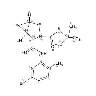 Cc1ccc(Br)nc1NC(=O)[C@@H]1[C@H]2C[C@@H]2CN1C(=O)OC(C)(C)C